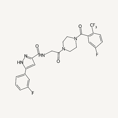 O=C(NCC(=O)N1CCN(C(=O)c2cc(F)ccc2C(F)(F)F)CC1)c1cc(-c2cccc(F)c2)[nH]n1